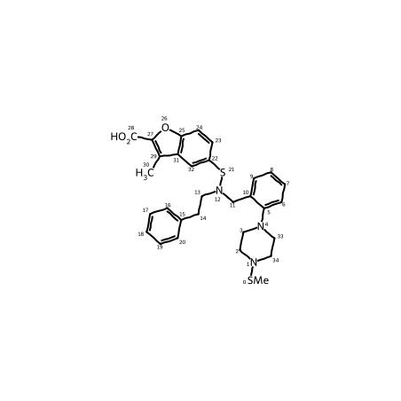 CSN1CCN(c2ccccc2CN(CCc2ccccc2)Sc2ccc3oc(C(=O)O)c(C)c3c2)CC1